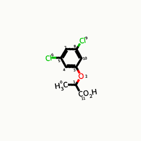 CC(Oc1cc(Cl)cc(Cl)c1)C(=O)O